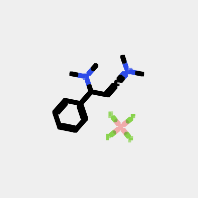 CN(C)C(C=C=[N+](C)C)c1ccccc1.F[B-](F)(F)F